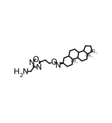 C[C@H]1CCC2C3CCC4CC(=NOCCc5nc(CN)no5)CC[C@]4(C)C3CC[C@@]21C